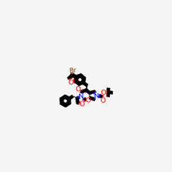 CC(C)(C)OC(=O)N1CC[C@H]([C@H](Cc2ccc3c(Br)coc3c2)C(=O)N2C(=O)OC[C@@H]2Cc2ccccc2)C1